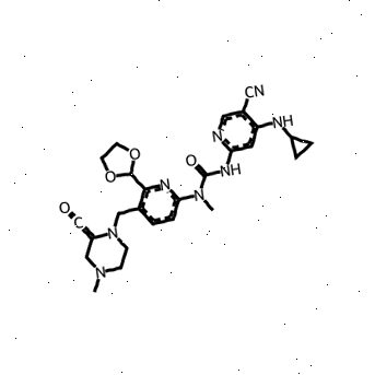 CN1CCN(Cc2ccc(N(C)C(=O)Nc3cc(NC4CC4)c(C#N)cn3)nc2C2OCCO2)C(=C=O)C1